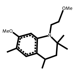 COCCN1c2cc(OC)c(C)cc2C(C)CC1(C)C